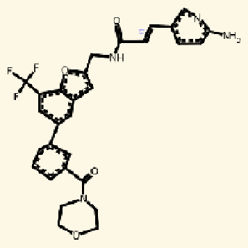 Nc1ccc(/C=C/C(=O)NCc2cc3cc(-c4cccc(C(=O)N5CCOCC5)c4)cc(C(F)(F)F)c3o2)cn1